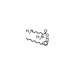 CCCCCCCCN1C=CN(C)C1.NCCCC[C@H](N)C(=O)O